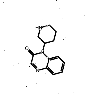 O=c1cnc2ccccc2n1C1CCCNC1